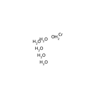 O.O.O.O.O.O.[Cr]